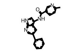 Cc1ccc(C(=O)Nc2c[nH]c3ncc(-c4ccccc4)cc23)cn1